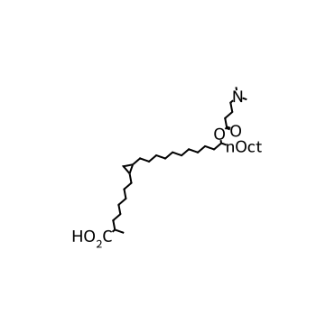 CCCCCCCCC(CCCCCCCCCCC1CC1CCCCCCC(C)C(=O)O)OC(=O)CCCN(C)C